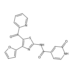 O=C(Nc1nc(-c2ccco2)c(C(=O)c2ccccn2)s1)c1cc[nH]c(=O)c1